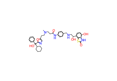 CN(CCC(=O)Nc1ccc(CNCC(O)c2ccc(O)c3[nH]c(=O)sc23)cc1)CCc1cnc([C@](O)(c2ccccc2)C2CCCCC2)o1